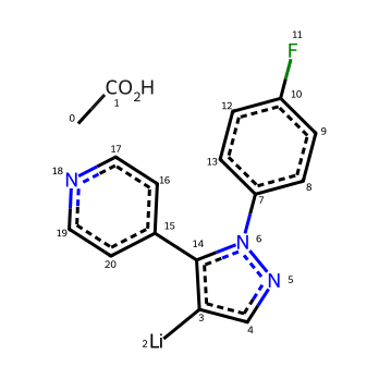 CC(=O)O.[Li][c]1cnn(-c2ccc(F)cc2)c1-c1ccncc1